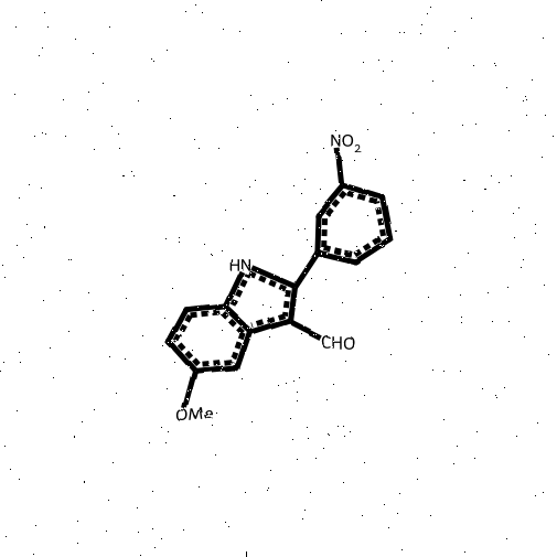 COc1ccc2[nH]c(-c3cccc([N+](=O)[O-])c3)c(C=O)c2c1